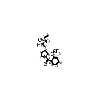 C=CS(=O)(=O)NC[C@H]1CCN(C(=O)c2ccccc2OC(F)(F)F)C1